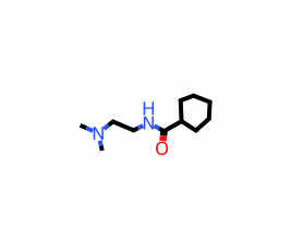 CN(C)CCNC(=O)C1CCCCC1